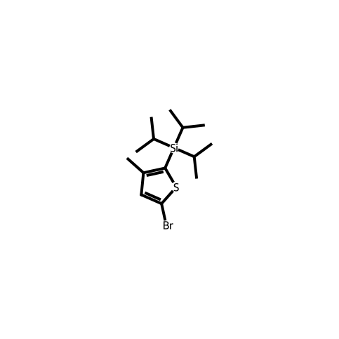 Cc1cc(Br)sc1[Si](C(C)C)(C(C)C)C(C)C